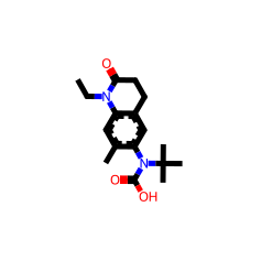 CCN1C(=O)CCc2cc(N(C(=O)O)C(C)(C)C)c(C)cc21